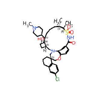 C[C@@H]1[C@@H](C)CCC[C@](O)(C2CCN(C)CC2)[C@@H]2CC[C@H]2CN2C[C@@]3(CCCc4cc(Cl)ccc43)COc3ccc(cc32)C(=O)NS1(=O)=O